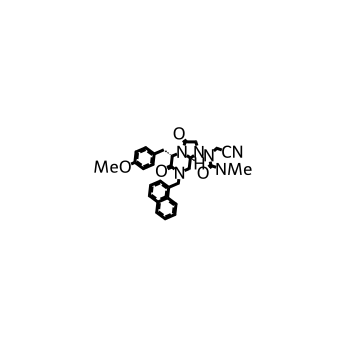 CNC(=O)N(CC#N)N1CC(=O)N2[C@@H](Cc3ccc(OC)cc3)C(=O)N(Cc3cccc4ccccc34)C[C@@H]21